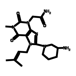 CC(C)=CCn1c(N2CCCC(N)C2)nc2c1c(=O)n(C)c(=O)n2CC(N)=O